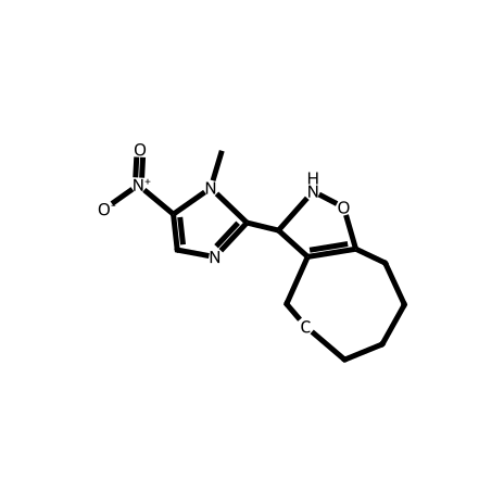 Cn1c([N+](=O)[O-])cnc1C1NOC2=C1CCCCCC2